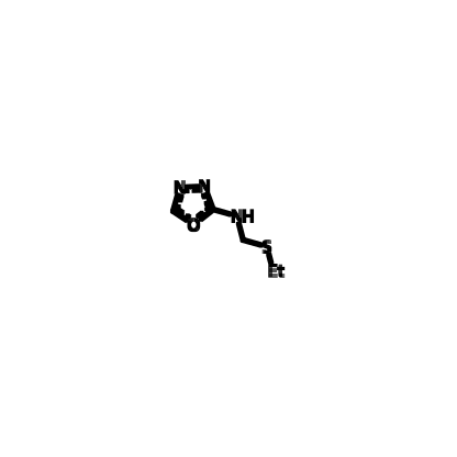 CCSCNc1nnco1